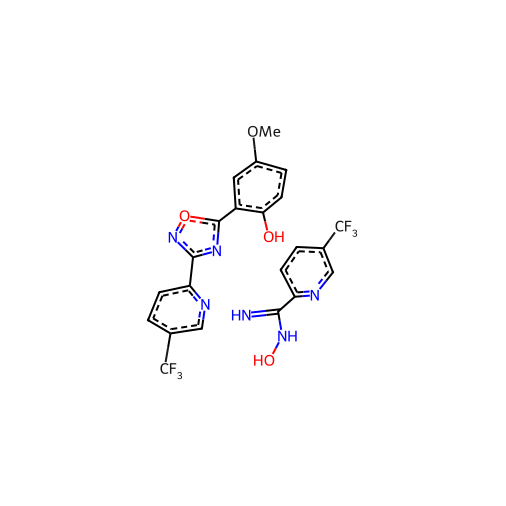 COc1ccc(O)c(-c2nc(-c3ccc(C(F)(F)F)cn3)no2)c1.N=C(NO)c1ccc(C(F)(F)F)cn1